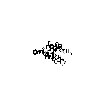 CCOC(=O)c1cn(C2CC2)c2c(CC[C@@H]3[C@H](CNC(=O)OC(C)(C)C)CCN3C(=O)OCc3ccccc3)c(F)c(F)cc2c1=O